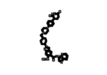 COc1cc2nn(C3CCC(CN4CCN(c5ccc(C6CCC(=O)NC6=O)cc5)CC4)CC3)cc2cc1C(=O)Nc1cnc2cccnn12